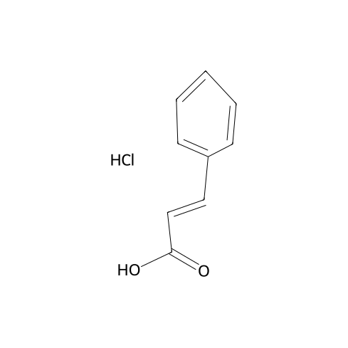 Cl.O=C(O)/C=C/c1ccccc1